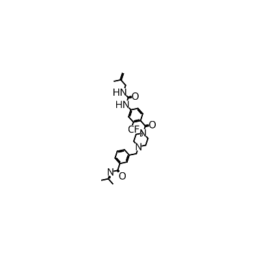 C=C(C)CNC(=O)Nc1ccc(C(=O)N2CCN(Cc3cccc(C(=O)N=C(C)C)c3)CC2)c(C(F)(F)F)c1